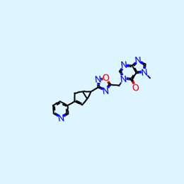 Cn1cnc2ncn(Cc3nc(C4C5C=C(c6cccnc6)CC54)no3)c(=O)c21